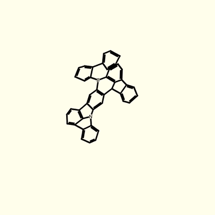 c1ccc(-c2ccccc2B2c3cc4c5cccc6c7ccccc7n(c4cc3C3c4ccccc4-c4cccc2c43)c65)cc1